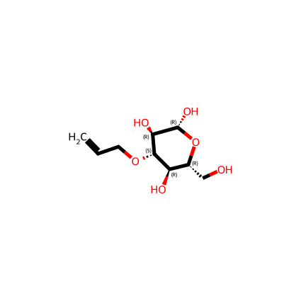 C=CCO[C@@H]1[C@@H](O)[C@H](O)O[C@H](CO)[C@H]1O